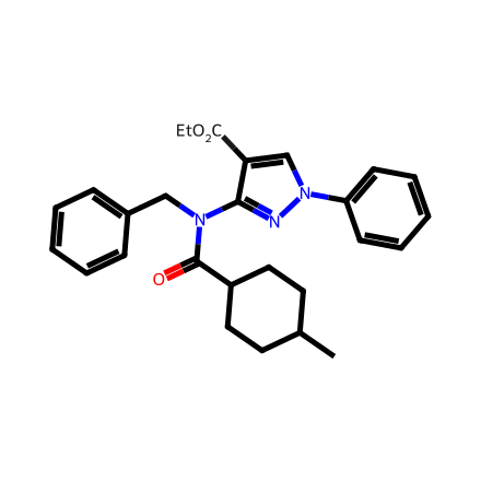 CCOC(=O)c1cn(-c2ccccc2)nc1N(Cc1ccccc1)C(=O)C1CCC(C)CC1